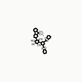 CC1(C)c2ccccc2-c2ccc(-c3c(C#N)c(C#N)c(C#N)c(-c4cc(-c5nc6ccccc6o5)cc(-c5nc6ccccc6o5)c4)c3C#N)cc21